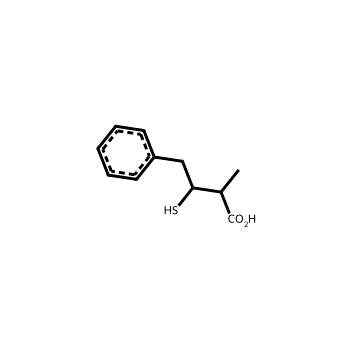 CC(C(=O)O)C(S)Cc1ccccc1